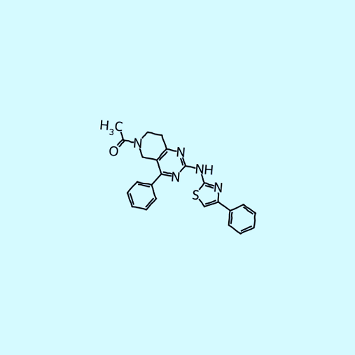 CC(=O)N1CCc2nc(Nc3nc(-c4ccccc4)cs3)nc(-c3ccccc3)c2C1